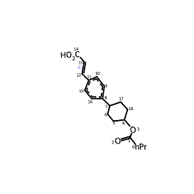 CCCC(=O)OC1CCC(c2ccc(/C=C/C(=O)O)cc2)CC1